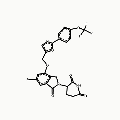 O=C1CCC(N2Cc3c(OCc4cnc(-c5ccc(OC(F)(F)F)cc5)o4)cc(F)cc3C2=O)C(=O)N1